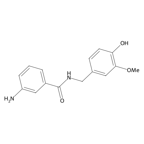 COc1cc(CNC(=O)c2cccc(N)c2)ccc1O